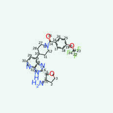 N[C@H]1CCO[C@H]1c1nc2c(C3CCN(C(=O)c4ccc(OC(F)(F)F)cc4)CC3)ccnc2[nH]1